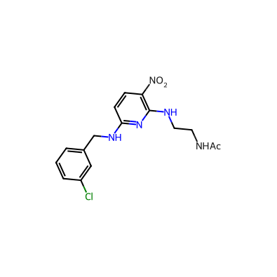 CC(=O)NCCNc1nc(NCc2cccc(Cl)c2)ccc1[N+](=O)[O-]